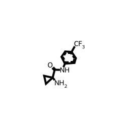 NC1(C(=O)Nc2ccc(C(F)(F)F)cc2)CC1